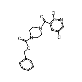 O=C(OCc1ccccc1)N1CCN(C(=O)c2cc(Cl)cnc2Cl)CC1